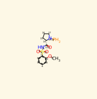 COc1ccccc1S(=O)(=O)NC(=O)[C@@H]1CCCN1P